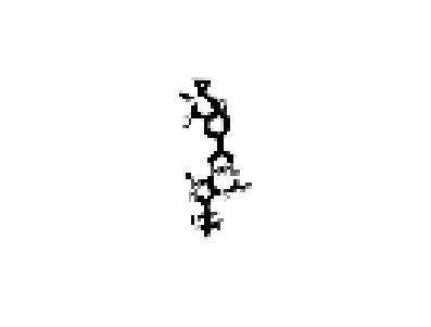 CN(C(=O)c1cc(-c2cnn(-c3c(SC(F)F)c(C(F)(F)C(F)(F)F)nn3C)c2)ccc1Cl)C1(C#N)CC1